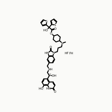 CN(CCCn1c(=O)[nH]c2cc(CNC[C@@H](O)c3ccc(O)c4[nH]c(=O)ccc34)ccc21)C1CCC(OC(=O)C(O)(c2cccs2)c2cccs2)CC1.F.F